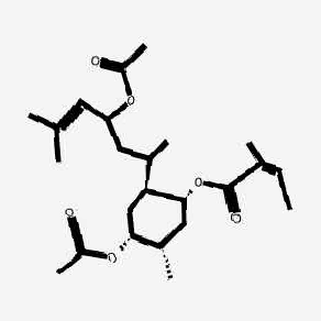 C/C=C(/C)C(=O)O[C@@H]1C[C@H](C)[C@H](OC(C)=O)C[C@H]1C(C)CC(C=C(C)C)OC(C)=O